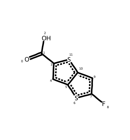 O=C(O)c1cc2sc(F)cc2s1